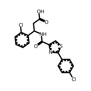 O=C(O)CC(NC(=O)c1csc(-c2ccc(Cl)cc2)n1)c1ccccc1Cl